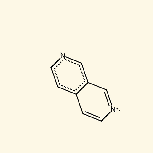 C1=Cc2ccncc2C=[N+]1